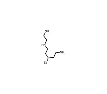 CCN(CCN)CCNCCN